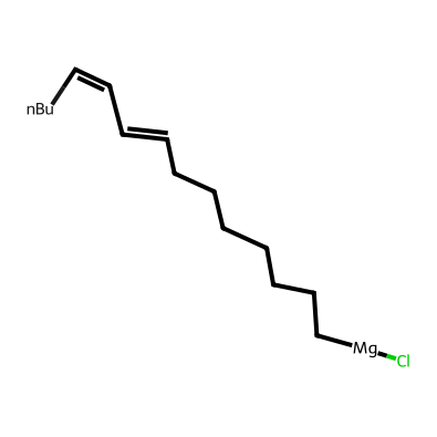 CCCC/C=C\C=C\CCCCCC[CH2][Mg][Cl]